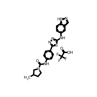 CC1CCN(C(=O)Nc2ccc(-c3nnc(Nc4ccc5[nH]ncc5c4)s3)cc2)C1.O=C(O)C(F)(F)F